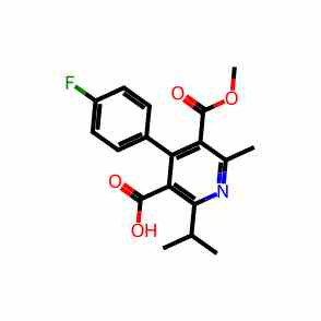 COC(=O)c1c(C)nc(C(C)C)c(C(=O)O)c1-c1ccc(F)cc1